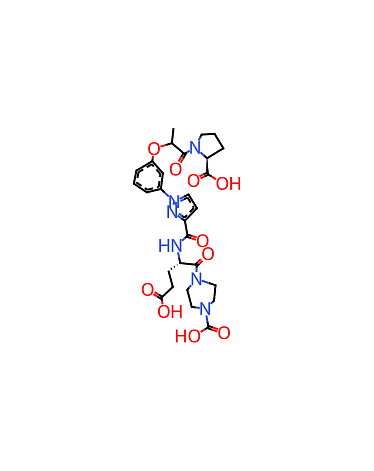 CC(Oc1cccc(-n2ccc(C(=O)N[C@@H](CCC(=O)O)C(=O)N3CCN(C(=O)O)CC3)n2)c1)C(=O)N1CCC[C@H]1C(=O)O